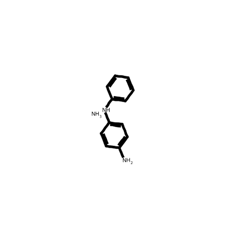 N.Nc1ccc(Nc2ccccc2)cc1